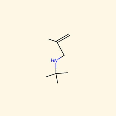 C=C(C)CNC(C)(C)C